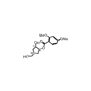 COc1ccc(C(=O)O[C@H]2C[SH](CO)C[C@H]2O)c(OC)c1